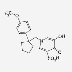 O=C(O)c1cn(CC2(c3ccc(OC(F)(F)F)cc3)CCCC2)cc(O)c1=O